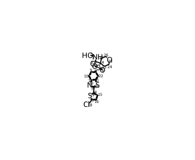 O=C(NO)C1(S(=O)(=O)c2ccc3nc(-c4ccc(Cl)s4)sc3c2)CCOCC1